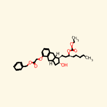 CCCCC[C@@H](CC[C@@H]1[C@H]2Cc3cccc(OCC(=O)OCc4ccccc4)c3C[C@H]2C[C@H]1O)OC(=O)OCC